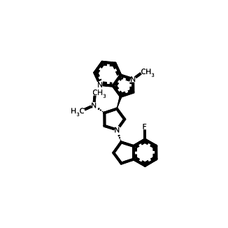 CN(C)[C@H]1CN([C@H]2CCc3cccc(F)c32)C[C@@H]1c1cn(C)c2cccnc12